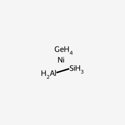 [AlH2][SiH3].[GeH4].[Ni]